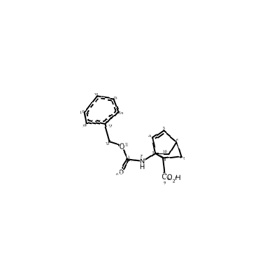 O=C(NC12C=CC(CC1C(=O)O)C2)OCc1ccccc1